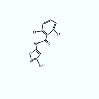 CCc1cccc(CC)c1C(=O)Nc1cc(C(C)(C)C)no1